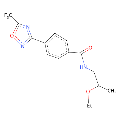 CCOC(C)CNC(=O)c1ccc(-c2noc(C(F)(F)F)n2)cc1